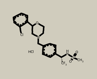 CS(=O)(=O)N[C@@H](c1ccc(CN2CCOC(c3ccccc3Cl)C2)cc1)C(F)(F)F.Cl